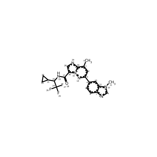 Cc1cc(-c2ccc3ncn(C)c3c2)nn2c(C(=O)NC(C3CC3)C(F)(F)F)cnc12